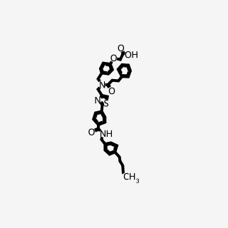 CCCCCc1ccc(CNC(=O)c2ccc(-c3nc(CN(Cc4ccc(OCC(=O)O)cc4)C(=O)CCc4ccccc4)cs3)cc2)cc1